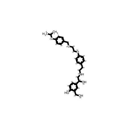 CC(C)Oc1ccc(COCCOc2ccc(CCNCC(O)c3ccc(O)c(CO)c3)cc2)cc1